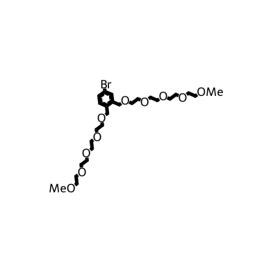 COCCOCCOCCOCCOCc1ccc(Br)cc1COCCOCCOCCOCCOC